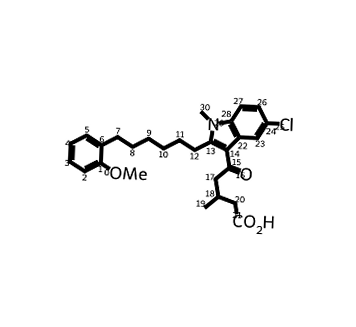 COc1ccccc1CCCCCCc1c(C(=O)CC(C)CC(=O)O)c2cc(Cl)ccc2n1C